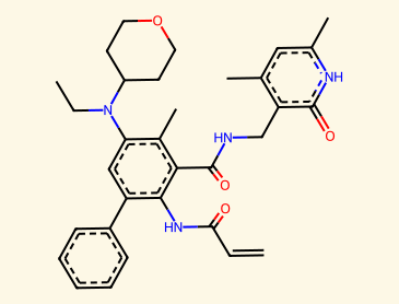 C=CC(=O)Nc1c(-c2ccccc2)cc(N(CC)C2CCOCC2)c(C)c1C(=O)NCc1c(C)cc(C)[nH]c1=O